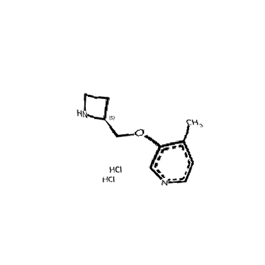 Cc1ccncc1OC[C@@H]1CCN1.Cl.Cl